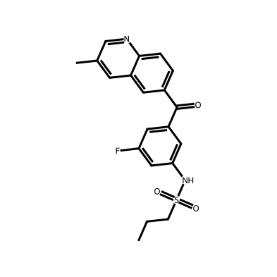 CCCS(=O)(=O)Nc1cc(F)cc(C(=O)c2ccc3ncc(C)cc3c2)c1